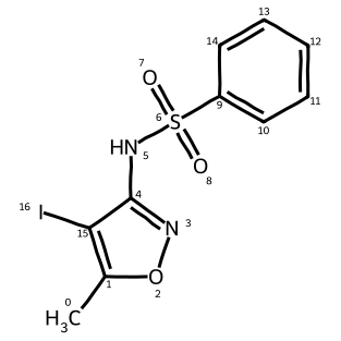 Cc1onc(NS(=O)(=O)c2ccccc2)c1I